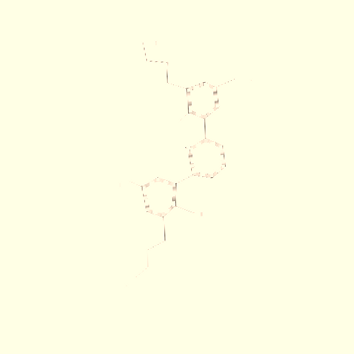 CCCCc1cc(C)cc(-c2cccc(-c3cc(C)cc(CCCC)c3O)n2)c1O